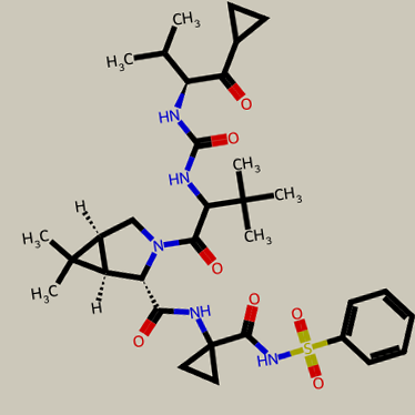 CC(C)[C@H](NC(=O)NC(C(=O)N1C[C@H]2[C@@H]([C@H]1C(=O)NC1(C(=O)NS(=O)(=O)c3ccccc3)CC1)C2(C)C)C(C)(C)C)C(=O)C1CC1